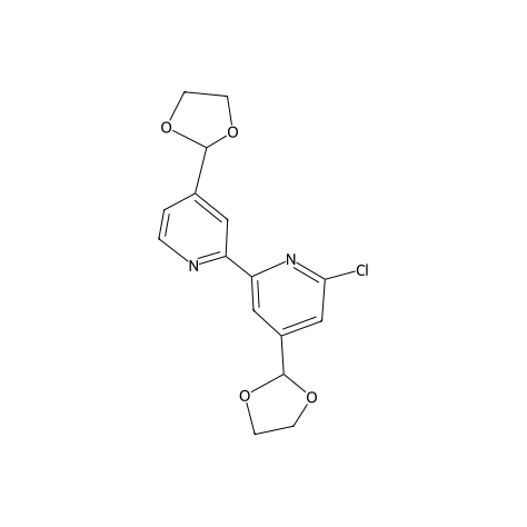 Clc1cc(C2OCCO2)cc(-c2cc(C3OCCO3)ccn2)n1